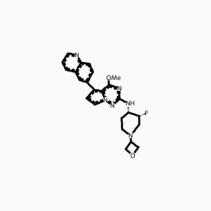 COc1nc(N[C@H]2CCN(C3COC3)C[C@H]2F)nn2ccc(-c3ccc4ncccc4c3)c12